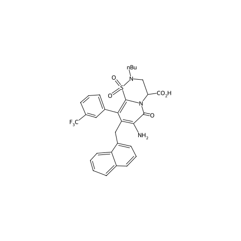 CCCCN1CC(C(=O)O)n2c(c(-c3cccc(C(F)(F)F)c3)c(Cc3cccc4ccccc34)c(N)c2=O)S1(=O)=O